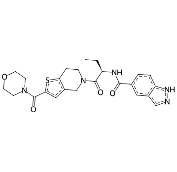 CC[C@@H](NC(=O)c1ccc2[nH]ncc2c1)C(=O)N1CCc2sc(C(=O)N3CCOCC3)cc2C1